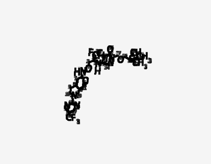 CC(CONC(=O)/C=C1/CCN(c2ncc(C(F)(F)F)cn2)CC1F)Nc1cnn(COCC[Si](C)(C)C)c(=O)c1C(F)(F)F